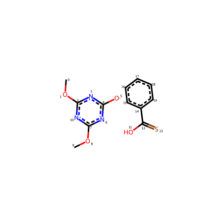 COc1nc([O])nc(OC)n1.OC(=S)c1ccccc1